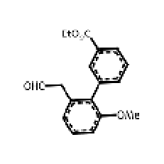 CCOC(=O)c1cccc(-c2c(CC=O)cccc2OC)c1